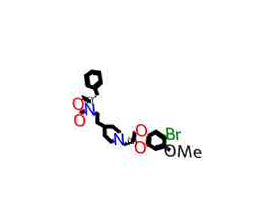 COc1cc2c(cc1Br)OC[C@H](CN1CCC(CCN3C(=O)OC[C@@H]3Cc3ccccc3)CC1)O2